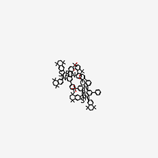 CC(C)(C)c1ccc2c(c1)B1c3c(cc(-c4ccccc4)cc3N2c2cccc3c2oc2ccccc23)N(c2ccc3c(c2)C(C)(C)CCC3(C)C)c2sc3cc4c(cc3c21)C(C)(Cc1ccc(-c2cc3c5c(c2)N(c2ccc6c(c2)C(C)(C)CCC6(C)C)c2sc6cc7c(cc6c2B5c2ccc(C(C)(C)C)cc2N3c2cccc3c2-c2ccccc2C3(C)C)C(C)(C)CCC7(C)C)cc1)CCC4(C)C